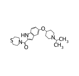 CC(C)N1CCC(Oc2ccc3[nH]c(C(=O)N4CCSCC4)cc3c2)CC1